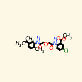 COC(=O)c1cc(Cl)ccc1NC(=O)COCC(=O)Nc1cc(C(C)C)ccc1C